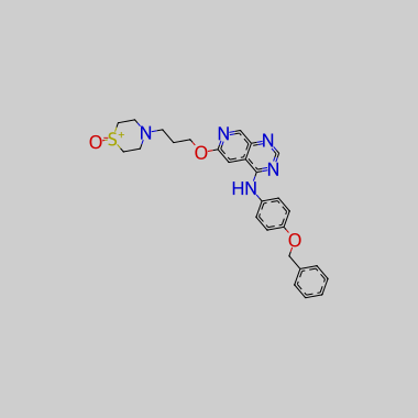 [O-][S+]1CCN(CCCOc2cc3c(Nc4ccc(OCc5ccccc5)cc4)ncnc3cn2)CC1